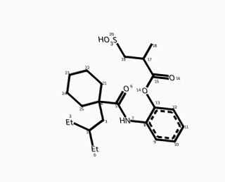 CCC(CC)CC1(C(=O)Nc2ccccc2OC(=O)C(C)CS(=O)(=O)O)CCCCC1